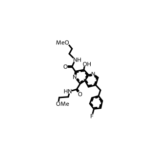 COCCNC(=O)c1nc(C(=O)NCCOC)c2cc(Cc3ccc(F)cc3)cnc2c1O